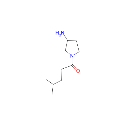 CC(C)CCC(=O)N1CCC(N)C1